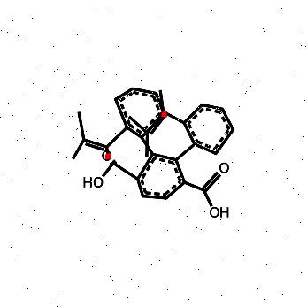 CC(C)=C(C)c1ccccc1-c1c(C(=O)O)ccc(C(=O)O)c1-c1ccccc1C(C)=C(C)C